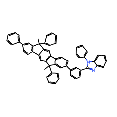 CC1(c2ccccc2)c2cc(-c3ccccc3)ccc2-c2cc3c(cc21)-c1ccc(-c2cccc(-c4nc5ccccc5n4-c4ccccc4)c2)cc1C3(C)c1ccccc1